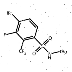 CC(C)c1ccc(S(=O)(=O)NC(C)(C)C)c(C(F)(F)F)c1F